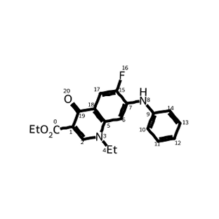 CCOC(=O)c1cn(CC)c2cc(Nc3ccccc3)c(F)cc2c1=O